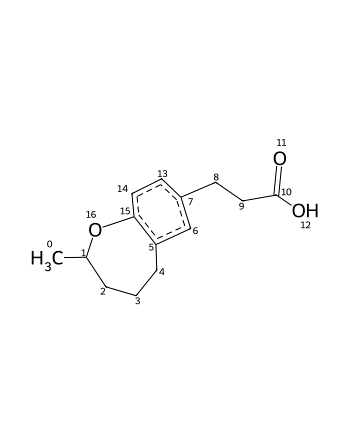 CC1CCCc2cc(CCC(=O)O)ccc2O1